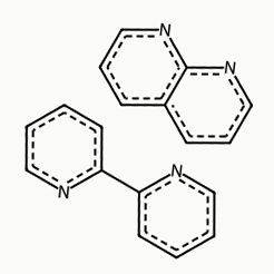 c1ccc(-c2ccccn2)nc1.c1cnc2ncccc2c1